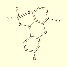 CCCS(=O)(=O)ON1c2ccc(CC)cc2Oc2c(CC)cccc21